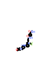 CNC(=O)c1ccc(NCC#Cc2cc3c(NC4CCC(C)(N5CC6COCC6C5)CC4)cccc3n2CC(F)(F)F)c(OC)c1